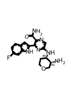 NC(=O)c1ncc(N[C@@H]2CCOC[C@@H]2N)nc1-c1cc2ccc(F)cc2[nH]1